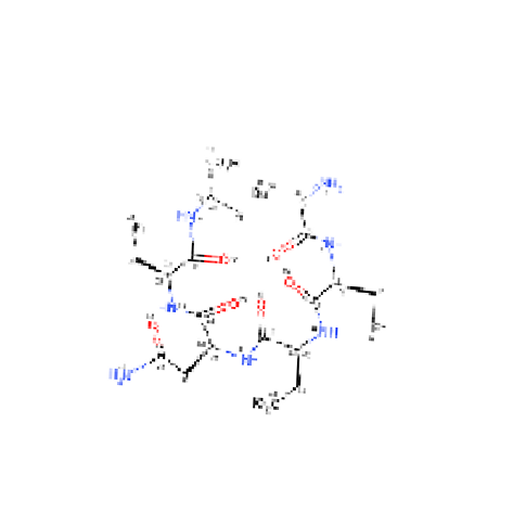 CC[C@H](C)[C@H](N)C(=O)N[C@@H](CC(C)C)C(=O)N[C@@H](CC(=O)O)C(=O)N[C@@H](CC(N)=O)C(=O)N[C@@H](CC(C)C)C(=O)N[C@@H](C)C(=O)O